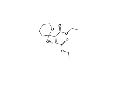 CCOC(=O)/C=C(\C(=O)OCC)C1([SiH3])CCCCO1